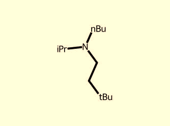 CCCCN(CCC(C)(C)C)C(C)C